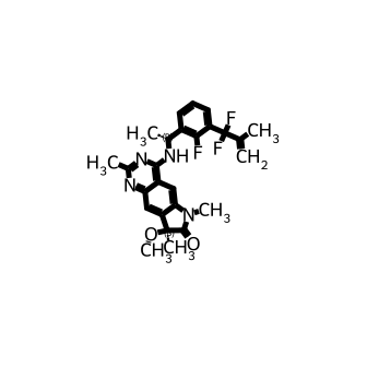 C=C(C)C(F)(F)c1cccc([C@@H](C)Nc2nc(C)nc3cc4c(cc23)N(C)C(=O)[C@@]4(C)OC)c1F